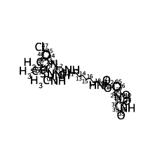 CC(=N)N1C(=N)[C@H](CC(=O)NCCCCCCCCNC(=O)Oc2cccc3c2CN(C2CCC(=O)NC2=O)C3=O)N=C(c2ccc(Cl)cc2)c2c1sc(C)c2C